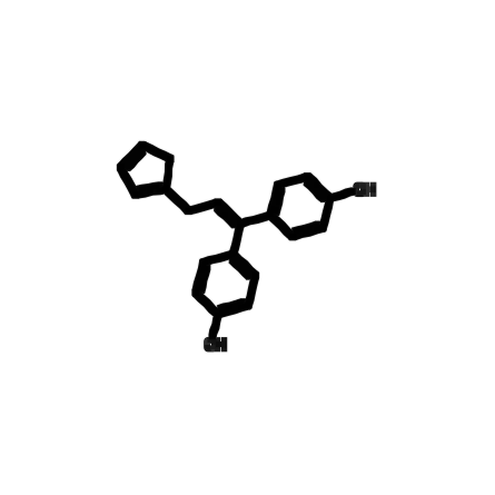 Oc1ccc(C(=CCC2=CC=CC2)c2ccc(O)cc2)cc1